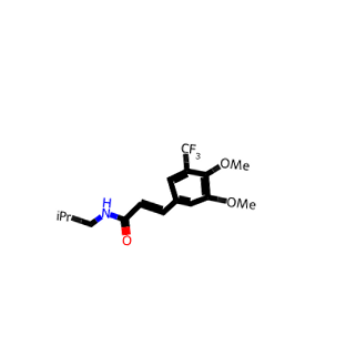 COc1cc(/C=C/C(=O)NCC(C)C)cc(C(F)(F)F)c1OC